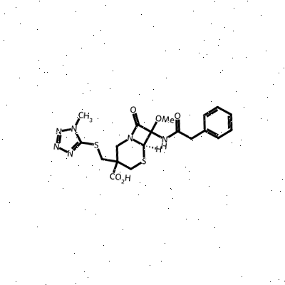 COC1(NC(=O)Cc2ccccc2)C(=O)N2CC(CSc3nnnn3C)(C(=O)O)CS[C@@H]21